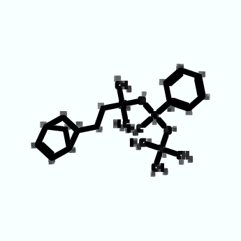 C[Si](C)(C)O[Si](C)(O[Si](C)(C)CCC1CC2C=CC1C2)c1ccccc1